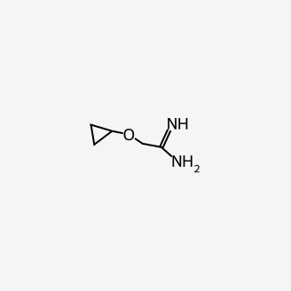 N=C(N)COC1CC1